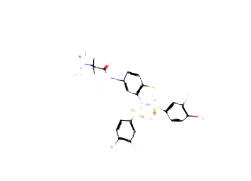 CC(C)(C)N(C(=O)O)C(C)(C)C(=O)Nc1ccc(F)c(N(S(=O)(=O)c2ccc(Br)c(F)c2)S(=O)(=O)c2ccc(Br)c(F)c2)c1